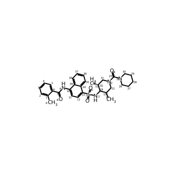 Cc1ccccc1C(=O)Nc1ccc(S(=O)(=O)NC2C(C)CN(C(=O)N3CCCCC3)C[C@@H]2C)c2ccccc12